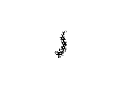 CCCCc1ccc(-c2ccc(-c3cc(F)c(C(F)(F)Oc4cc(F)c(C)c(F)c4C)c(F)c3)c(F)c2)cc1